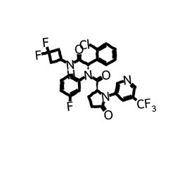 O=C(NC1CC(F)(F)C1)[C@H](c1ccccc1Cl)N(C(=O)[C@@H]1CCC(=O)N1c1cncc(C(F)(F)F)c1)c1cccc(F)c1